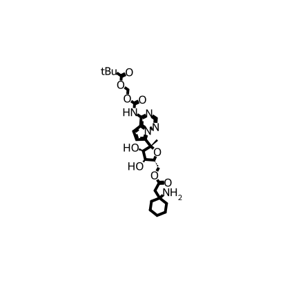 CC(C)(C)C(=O)OCOC(=O)Nc1ncnn2c([C@]3(C)O[C@H](COC(=O)CC4(N)CCCCC4)[C@@H](O)[C@H]3O)ccc12